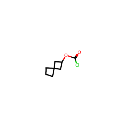 O=C(Cl)OC1CC2(CCC2)C1